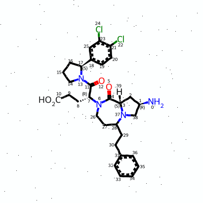 N[C@@H]1C[C@H]2C(=O)N([C@H](CCC(=O)O)C(=O)N3CCC[C@H]3c3ccc(Cl)c(Cl)c3)CCC(CCc3ccccc3)N2C1